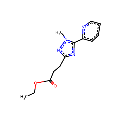 CCOC(=O)CCc1nc(-c2ccccn2)n(C)n1